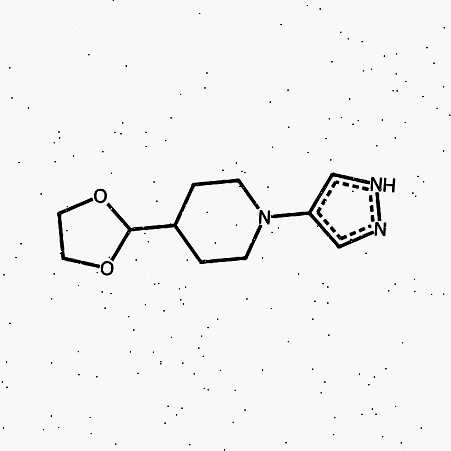 c1n[nH]cc1N1CCC(C2OCCO2)CC1